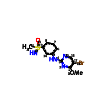 COc1nc(Nc2cccc(S(C)(=N)=O)c2)ncc1Br